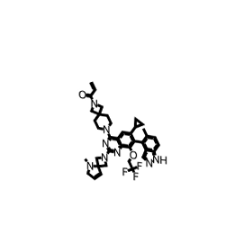 C=CC(=O)N1CC2(CCN(c3nc(N4CC5(C=CCN5C)C4)nc4c(OCC(F)(F)F)c(-c5c(C)ccc6[nH]ncc56)c(C5CC5)cc34)CC2)C1